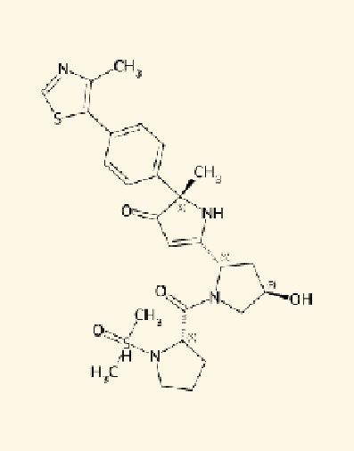 Cc1ncsc1-c1ccc([C@]2(C)NC([C@@H]3C[C@@H](O)CN3C(=O)[C@@H]3CCCN3[SH](C)(C)=O)=CC2=O)cc1